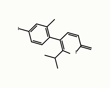 C=C(I)/C=C\C(=C(/C)C(C)C)c1ccc(I)cc1C